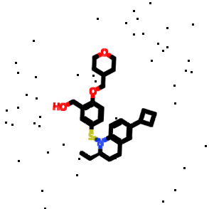 CC[C@@H]1CCc2cc(C3CCC3)ccc2N1Sc1ccc(OCC2CCOCC2)c(CO)c1